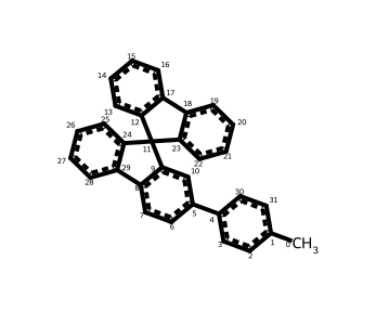 Cc1ccc(-c2ccc3c(c2)C2(c4ccccc4-c4ccccc42)c2ccccc2-3)cc1